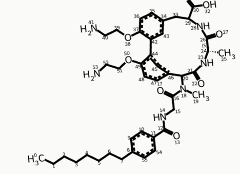 CCCCCCCCc1ccc(C(=O)NCC(=O)N(C)C2C(=O)N[C@@H](C)C(=O)NC(C(=O)O)Cc3ccc(OCCN)c(c3)-c3cc2ccc3OCCN)cc1